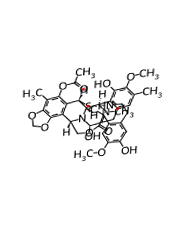 COc1cc2c(cc1O)CCN[C@]21CS[C@H]2c3c(OC(C)=O)c(C)c4c(c3[C@@H](COC1=O)N1[C@H]2[C@H]2c3c(cc(C)c(OC)c3O)CC([C@H]1O)N2C)OCO4